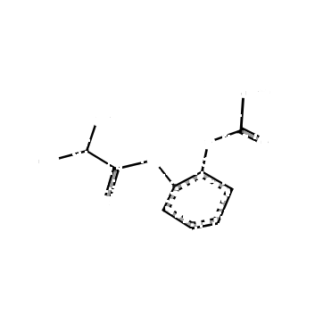 CCCCCCCC(=O)Oc1ccccc1OC(=O)C(CCC)CCC